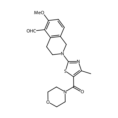 COc1ccc2c(c1C=O)CCN(c1nc(C)c(C(=O)N3CCOCC3)s1)C2